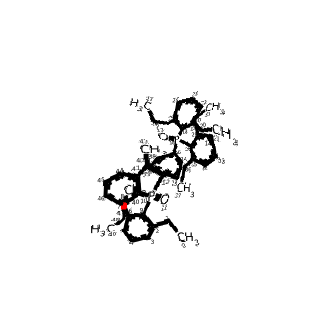 CCc1cccc(CC)c1P(=O)(c1ccc(P(=O)(c2c(CC)cccc2CC)c2c(CC)cccc2CC)cc1)c1c(CC)cccc1CC